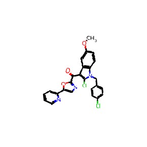 COc1ccc2c(c1)c(C(=O)c1ncc(-c3ccccn3)o1)c(Cl)n2Cc1ccc(Cl)cc1